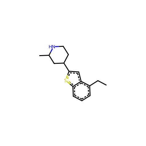 CCc1cccc2sc(C3CCNC(C)C3)cc12